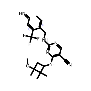 C/C=C(CNc1ncc(C#N)c(NC2CC(C)(OC)C2(C)C)n1)\C(=C/C=N)C(F)(F)F